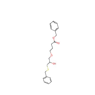 O=C(CCCOCC(O)CSCc1ccccc1)OCc1ccccc1